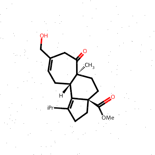 COC(=O)[C@@]12CCC(C(C)C)=C1[C@@H]1CC=C(CO)CC(=O)[C@@]1(C)CC2